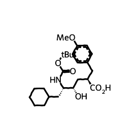 COc1ccc(C[C@H](C[C@H](O)[C@H](CC2CCCCC2)NC(=O)OC(C)(C)C)C(=O)O)cc1